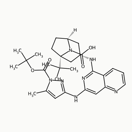 Cc1cc(Nc2cc3ncccc3c(N[C@H]3C[C@@H]4CC[C@](C(C)(C)C)(C3)N4C(=O)O)n2)nn1C(=O)OC(C)(C)C